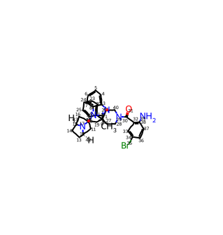 Cc1nc2ccccc2n1C1C[C@H]2CC[C@@H](C1)N2CCC1(c2ccccc2)CCN(C(=O)c2cc(Br)ccc2N)CC1